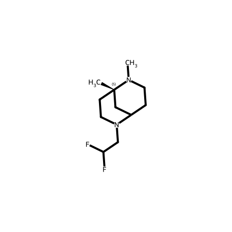 CN1CCC2C[C@]1(C)CCN2CC(F)F